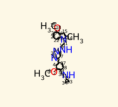 CCOc1cc(-c2cc(NCCn3c(C)cc4c(OC)cccc43)ncn2)ccc1CNC1CC1